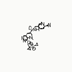 CN1CC(C(=O)NCc2ccc(C#N)nc2)=Cc2cnnc(OCC3(S(=O)(=O)C4CC4)CC3)c21